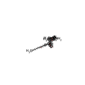 CCCCCCCCCCCCCCCCOCCCOP(=O)(OC[C@H]1O[C@@](C)(c2ccc3c(N)ncnn23)[C@@H]2OC(C)(C)O[C@@H]21)Oc1ccccc1Cl